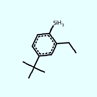 CCc1cc(C(C)(C)C)ccc1[SiH3]